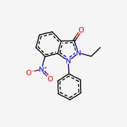 CCn1c(=O)c2cccc([N+](=O)[O-])c2n1-c1ccccc1